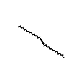 CCCCCCCCCCCCCCCCC#CC#CCCCCCCCCCCCCC[C]=O